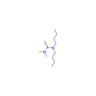 CCCCN(CCCC)C(=S)N(C)C